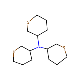 C1CSCC(N(C2CCCSC2)C2CCCSC2)C1